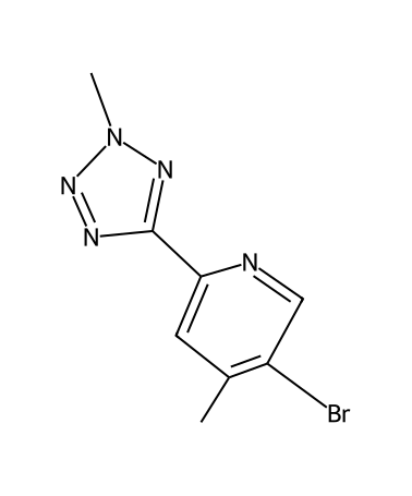 Cc1cc(-c2nnn(C)n2)ncc1Br